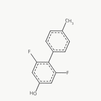 Cc1ccc(-c2c(F)cc(O)cc2F)cc1